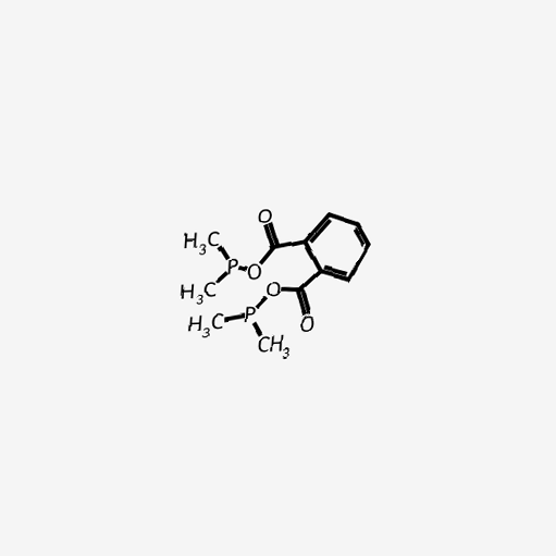 CP(C)OC(=O)c1ccccc1C(=O)OP(C)C